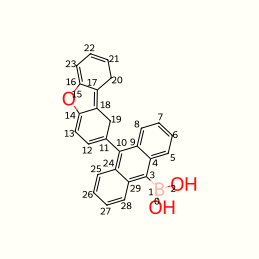 OB(O)c1c2ccccc2c(C2=CC=c3oc4c(c3C2)CC=CC=4)c2ccccc12